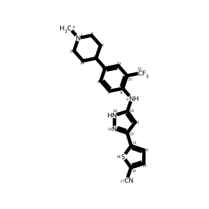 CN1CCC(c2ccc(Nc3cc(-c4ccc(C#N)s4)n[nH]3)c(C(F)(F)F)c2)CC1